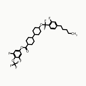 CCCCCc1ccc(C(F)(F)OC2CCC(C3CCC(C(=O)Oc4cc(F)c(OC(F)(F)F)c(F)c4)CC3)CC2)c(F)c1